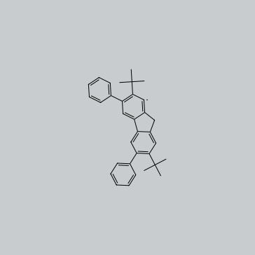 CC(C)(C)c1[c]c2c(cc1-c1ccccc1)-c1cc(-c3ccccc3)c(C(C)(C)C)cc1C2